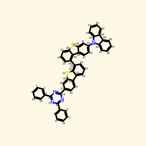 c1ccc(-c2nc(-c3ccccc3)nc(-c3ccc4c(c3)sc3c(-c5cccc6sc7cc(-n8c9ccccc9c9ccccc98)ccc7c56)cccc34)n2)cc1